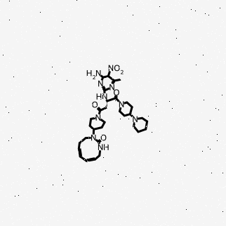 CC1=NC(N[C@@H](CC(=O)N2CCC(N3CC/C=C\C=C/CNC3=O)CC2)C(=O)N2CCC(N3CCCCC3)CC2)=NC(N)C1[N+](=O)[O-]